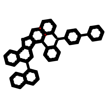 c1ccc(-c2ccc(N(c3ccccc3)c3ccccc3-c3cccc4oc5c6ccccc6c(-c6cccc7ccccc67)cc5c34)cc2)cc1